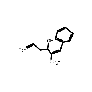 C=CCC(O)C(=Cc1ccccc1)C(=O)O